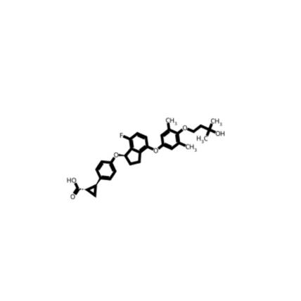 Cc1cc(Oc2ccc(F)c3c2CC[C@H]3Oc2ccc([C@H]3C[C@@H]3C(=O)O)cc2)cc(C)c1OCCC(C)(C)O